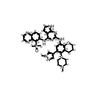 CN1CCN(c2c(-c3cnn(C)c3)cc(Nc3nc(Nc4ccc5nccnc5c4P(C)(C)=O)c4cc[nH]c4n3)c3c2CCCO3)CC1